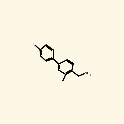 Cc1cc(-c2ccc(F)cc2)ccc1CN